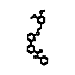 COc1ccc(CCOc2cccc(-c3cccc(C(=O)Nc4ccccn4)c3)n2)cc1OC